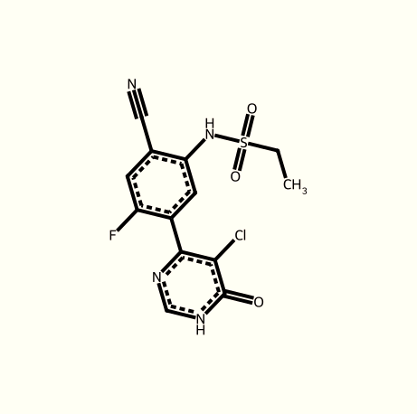 CCS(=O)(=O)Nc1cc(-c2nc[nH]c(=O)c2Cl)c(F)cc1C#N